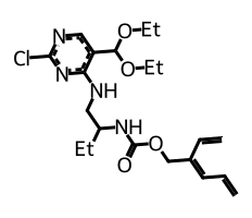 C=C/C=C(\C=C)COC(=O)NC(CC)CNc1nc(Cl)ncc1C(OCC)OCC